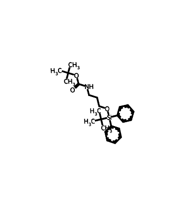 CC(C)(C)OC(=O)NCCCO[Si](c1ccccc1)(c1ccccc1)C(C)(C)C